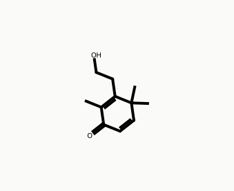 CC1=C(CCO)C(C)(C)C=CC1=O